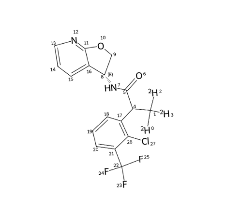 [2H]C([2H])([2H])C(C(=O)N[C@H]1COc2ncccc21)c1cccc(C(F)(F)F)c1Cl